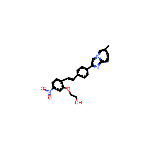 Cc1ccc2nc(-c3ccc(C=Cc4ccc([N+](=O)[O-])cc4OCCO)cc3)cn2c1